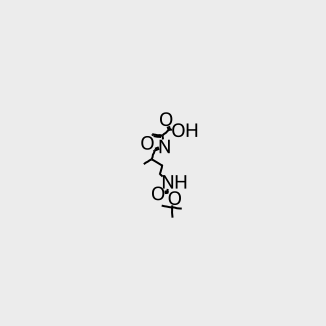 CC(CCNC(=O)OC(C)(C)C)c1nc(C(=O)O)co1